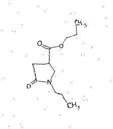 CCCOC(=O)C1CC(=O)N(CCC)C1